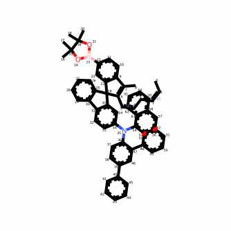 C/C=C\C/C=C\C1=C(C)c2ccc(B3OC(C)(C)C(C)(C)O3)cc2C12c1ccccc1-c1ccc(N(c3ccc(-c4ccccc4)cc3-c3ccccc3)c3cccc4ccccc34)cc12